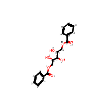 O=C(OC[C@@H](O)C(O)[C@H](O)COC(=O)c1ccccc1)c1ccccc1